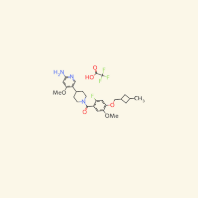 COc1cc(C(=O)N2CCC(c3cnc(N)cc3OC)CC2)c(F)cc1OCC1CC(C)C1.O=C(O)C(F)(F)F